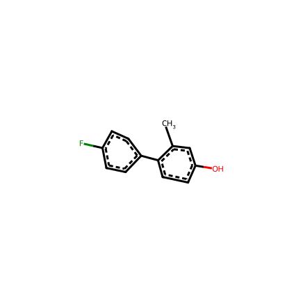 Cc1cc(O)ccc1-c1ccc(F)cc1